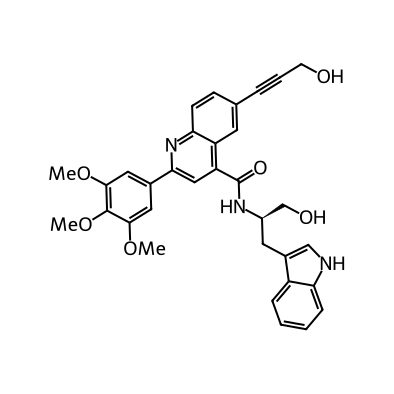 COc1cc(-c2cc(C(=O)N[C@@H](CO)Cc3c[nH]c4ccccc34)c3cc(C#CCO)ccc3n2)cc(OC)c1OC